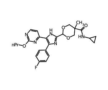 CCCOc1nccc(-c2[nH]c(C3OCC(C)(C(=O)NC4CC4)CO3)nc2-c2ccc(F)cc2)n1